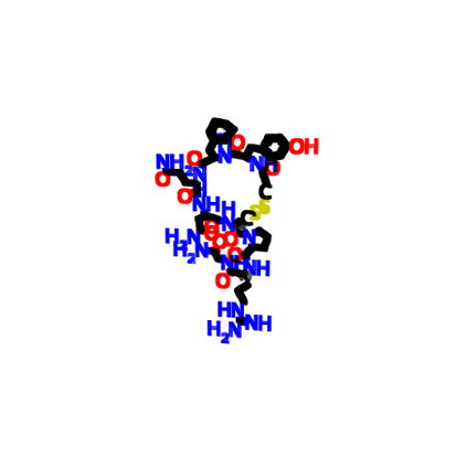 N=C(N)NCCC[C@@H](NC(=O)C1CCCN1C(=O)[C@H]1CSSCCC(=O)NC(Cc2ccc(O)cc2)C(=O)NC(Cc2ccccc2)C(=O)NC(CCC(N)=O)C(=O)NC(CC(N)=O)C(=O)N1)C(=O)NCC(N)=O